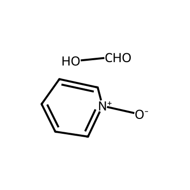 O=CO.[O-][n+]1ccccc1